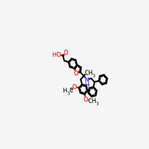 COc1ccc(CC(C)(NCC(c2ccccc2)c2ccccc2)c2cc3ccc(CC(=O)O)cc3o2)c(OC)c1